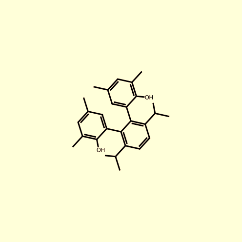 Cc1cc(C)c(O)c(-c2c(C(C)C)ccc(C(C)C)c2-c2cc(C)cc(C)c2O)c1